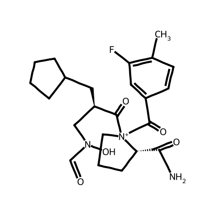 Cc1ccc(C(=O)[N+]2(C(=O)[C@H](CC3CCCC3)CN(O)C=O)CCC[C@H]2C(N)=O)cc1F